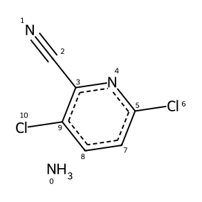 N.N#Cc1nc(Cl)ccc1Cl